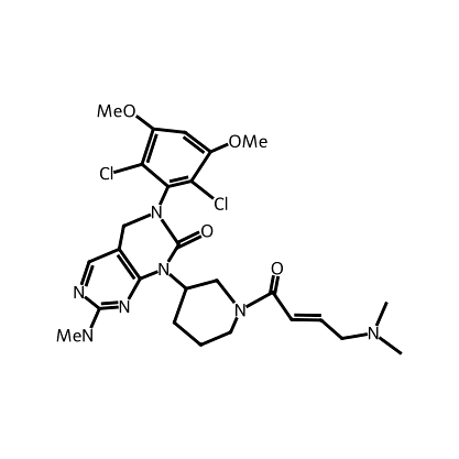 CNc1ncc2c(n1)N(C1CCCN(C(=O)C=CCN(C)C)C1)C(=O)N(c1c(Cl)c(OC)cc(OC)c1Cl)C2